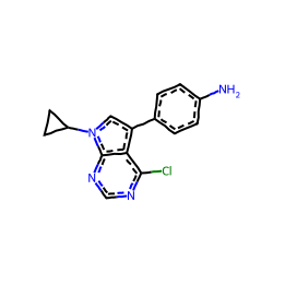 Nc1ccc(-c2cn(C3CC3)c3ncnc(Cl)c23)cc1